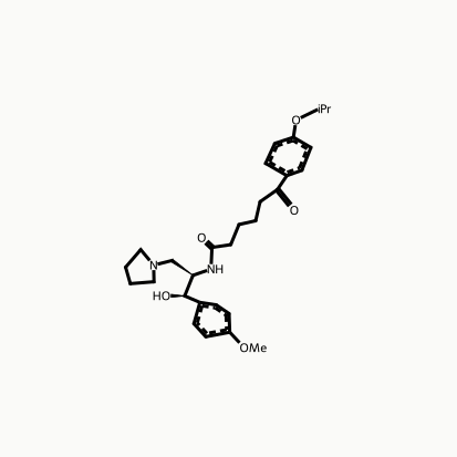 COc1ccc([C@@H](O)[C@@H](CN2CCCC2)NC(=O)CCCCC(=O)c2ccc(OC(C)C)cc2)cc1